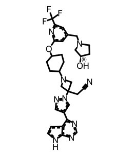 N#CCC1(n2cc(-c3ncnc4[nH]ccc34)cn2)CN(C2CCC(Oc3cc(CN4CC[C@@H](O)C4)cc(C(F)(F)F)n3)CC2)C1